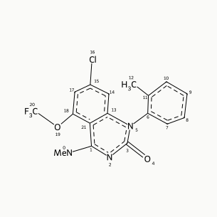 CNc1nc(=O)n(-c2ccccc2C)c2cc(Cl)cc(OC(F)(F)F)c12